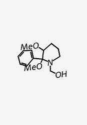 COC1CCCN(CO)C1(OC)c1ccccc1